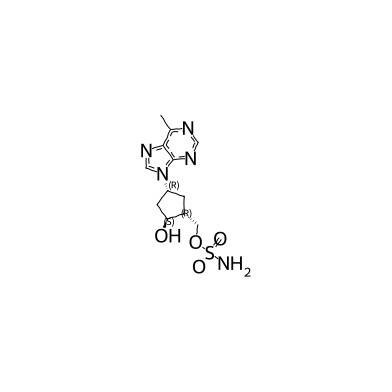 Cc1ncnc2c1ncn2[C@@H]1C[C@H](COS(N)(=O)=O)[C@@H](O)C1